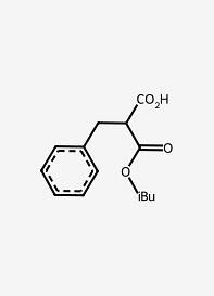 CCC(C)OC(=O)C(Cc1ccccc1)C(=O)O